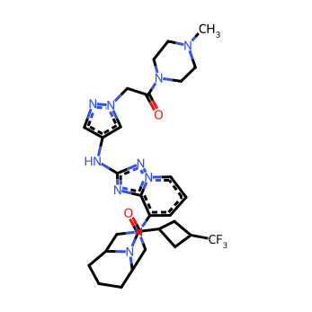 CN1CCN(C(=O)Cn2cc(Nc3nc4c(N5CC6CCCC(C5)N6C(=O)C5CC(C(F)(F)F)C5)cccn4n3)cn2)CC1